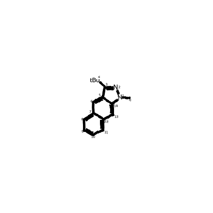 Cn1nc(C(C)(C)C)c2cc3ccccc3cc21